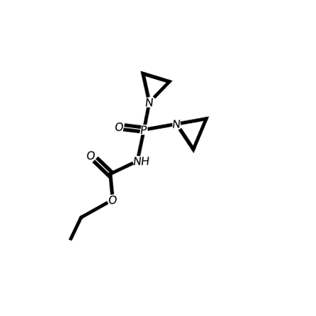 CCOC(=O)NP(=O)(N1CC1)N1CC1